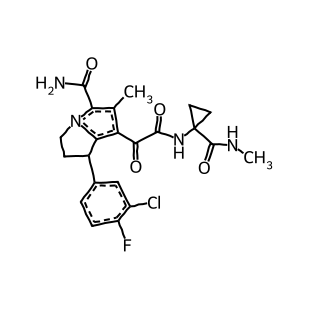 CNC(=O)C1(NC(=O)C(=O)c2c(C)c(C(N)=O)n3c2C(c2ccc(F)c(Cl)c2)CC3)CC1